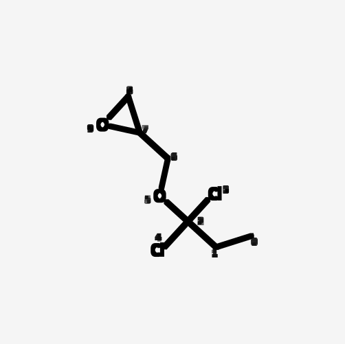 CCC(Cl)(Cl)OCC1CO1